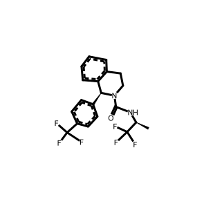 C[C@H](NC(=O)N1CCc2ccccc2[C@@H]1c1ccc(C(F)(F)F)cc1)C(F)(F)F